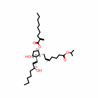 C=C(CCCCCCC)C(=O)O[C@H]1C[C@@H](O)[C@H](/C=C/[C@@H](O)CCCCC)[C@H]1C/C=C\CCCC(=O)OC(C)C